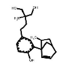 CC1CC2CC=CC1(c1cc(CCC(N)(CO)CO)ccc1O)C2